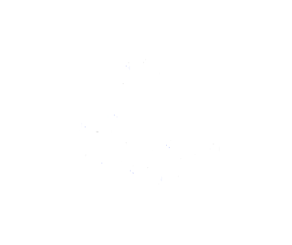 C#Cc1cnc(Nc2cc(NC[C@H]3CCCNC3)c(N)cn2)cn1